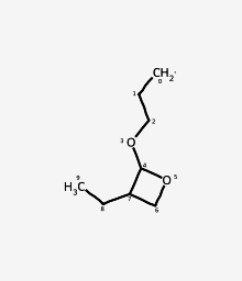 [CH2]CCOC1OCC1CC